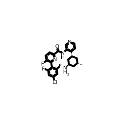 C[C@@H]1C[C@@H](N)C[C@H](c2ccncc2NC(=O)c2ccc(F)c(-c3c(F)cc(Cl)cc3F)n2)C1